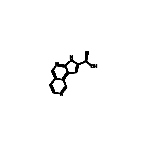 O=C(O)c1cc2c(ncc3ccncc32)[nH]1